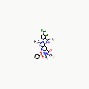 Cc1nc(N[C@H](C)c2cccc(C(F)F)c2F)c2cc(C(=O)N(C)C)c(NS(=O)(=O)c3ccccc3)nc2n1